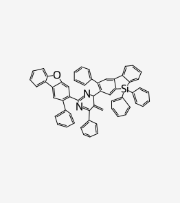 C=C1C(c2ccccc2)=NC(c2cc3oc4ccccc4c3cc2-c2ccccc2)=NC1c1cc2c(cc1-c1ccccc1)-c1ccccc1[Si]2(c1ccccc1)c1ccccc1